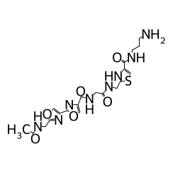 CC(=O)NCc1nc(-c2nc(C(=O)NCC(=O)NCc3nc(C(=O)NCCCN)cs3)co2)co1